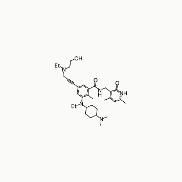 CCN(CC#Cc1cc(C(=O)NCc2c(C)cc(C)[nH]c2=O)c(C)c(N(CC)C2CCC(N(C)C)CC2)c1)CCO